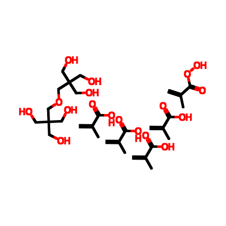 C=C(C)C(=O)O.C=C(C)C(=O)O.C=C(C)C(=O)O.C=C(C)C(=O)O.C=C(C)C(=O)OO.OCC(CO)(CO)COCC(CO)(CO)CO